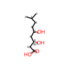 CC(C)CCC(O)C[C@@H](O)CC(=O)O